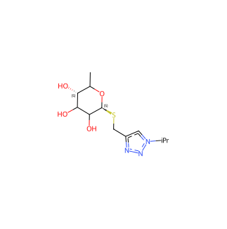 CC1O[C@@H](SCc2cn(C(C)C)nn2)C(O)C(O)[C@@H]1O